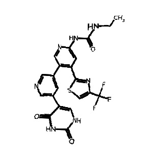 CCNC(=O)Nc1cc(-c2nc(C(F)(F)F)cs2)c(-c2cncc(-c3c[nH]c(=O)[nH]c3=O)c2)cn1